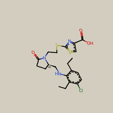 CCc1ccc(Cl)c(CC)c1NC[C@H]1CCC(=O)N1CCSc1nc(C(=O)O)cs1